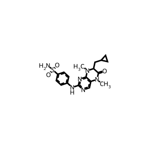 CN1C(=O)C(CC2CC2)N(C)c2nc(Nc3ccc(S(N)(=O)=O)cc3)ncc21